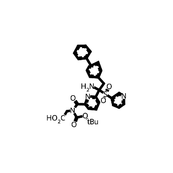 CC(C)(C)OC(=O)N(CC(=O)O)C(=O)c1cccc(C(N)(Cc2ccc(-c3ccccc3)cc2)S(=O)(=O)c2cccnc2)n1